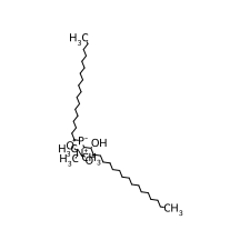 CCCCCCCCCCCCCCCCCC(=O)[P-]C(C(O)C(=O)CCCCCCCCCCCCCCC)[N+](C)(C)C